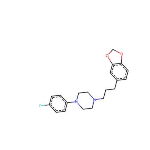 Fc1ccc(N2CCN(CCCc3ccc4c(c3)OCO4)CC2)cc1